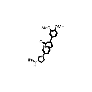 COc1ccc(C2=C\C(=O)N3C=C(N4CC[C@H](NC(C)C)C4)C=C\C3=C/C=C/2)cc1OC